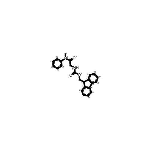 CN(C(=O)CNC(=O)OCC1c2ccccc2-c2ccccc21)c1ccccc1